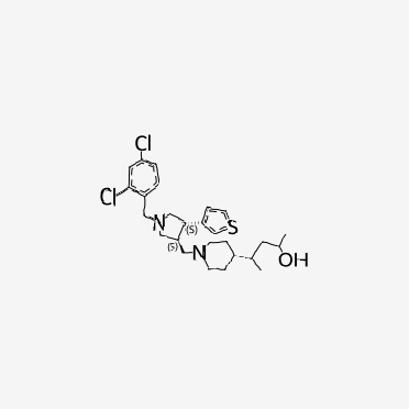 CC(O)CC(C)C1CCN(C[C@H]2CN(Cc3ccc(Cl)cc3Cl)C[C@@H]2c2ccsc2)CC1